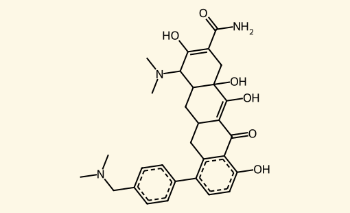 CN(C)Cc1ccc(-c2ccc(O)c3c2CC2CC4C(N(C)C)C(O)=C(C(N)=O)CC4(O)C(O)=C2C3=O)cc1